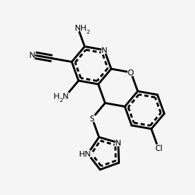 N#Cc1c(N)nc2c(c1N)C(Sc1ncc[nH]1)c1cc(Cl)ccc1O2